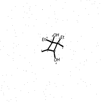 CCC1(C)C(O)C(C)C1(O)CC